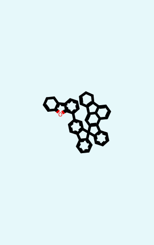 C1=CC2C3=C(C=C4C5=C(CCC=C5)C(=C1)C42)C1(c2ccccc23)c2ccccc2-c2ccc(-c3cccc4c5c(oc34)C=CCC5)cc21